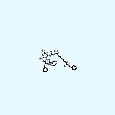 CCC(=O)OB(OC(=O)CN(C)CCCCCCNC(=O)OCc1ccccc1)[C@H](CC(C)C)NC(=O)[C@H](Cc1ccccc1)NC(=O)c1cnccn1